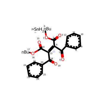 CCCCOC(=O)/C(C(=O)c1ccccc1)=C(\C(=O)OCCCC)C(=O)c1ccccc1.[SnH2]